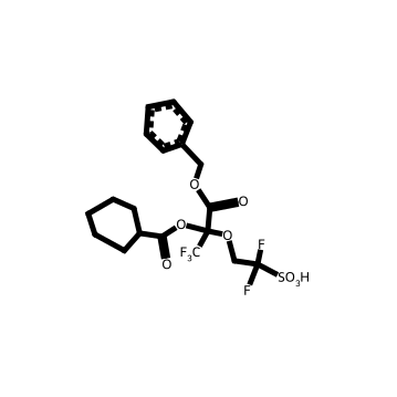 O=C(OC(OCC(F)(F)S(=O)(=O)O)(C(=O)OCc1ccccc1)C(F)(F)F)C1CCCCC1